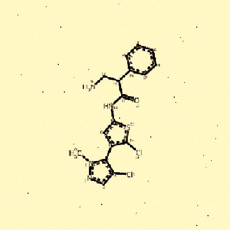 Cn1ncc(Cl)c1-c1cc(NC(=O)C(CN)c2ccccc2)sc1Cl